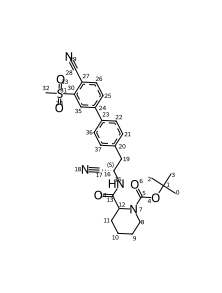 CC(C)(C)OC(=O)N1CCCCC1C(=O)N[C@H](C#N)Cc1ccc(-c2ccc(C#N)c(S(C)(=O)=O)c2)cc1